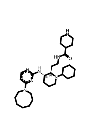 O=C(NCC[C@@H]1[C@@H](Nc2nccc(N3CCCCCCC3)n2)CCCN1C1CCCCC1)C1CCNCC1